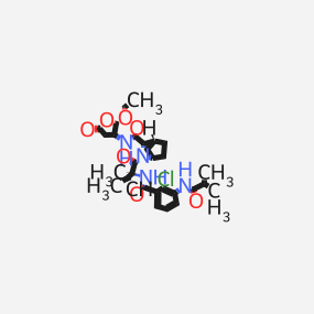 CCO[C@@H]1OC(=O)CC1NC(=O)C1[C@H]2CCC(C2)N1C(=O)[C@@H](NC(=O)c1cccc(NC(=O)C(C)C)c1Cl)C(C)(C)C